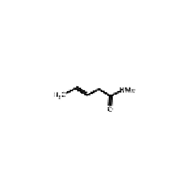 [CH2]NC(=O)CC=CC